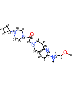 COCCN(C)c1ccc2c(n1)CCN(CC(=O)N1CCN(C3CCC3)CC1)C2